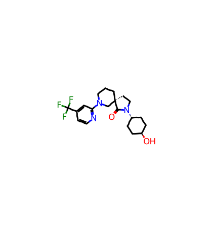 O=C1N([C@H]2CC[C@H](O)CC2)CC[C@]12CCCN(c1cc(C(F)(F)F)ccn1)C2